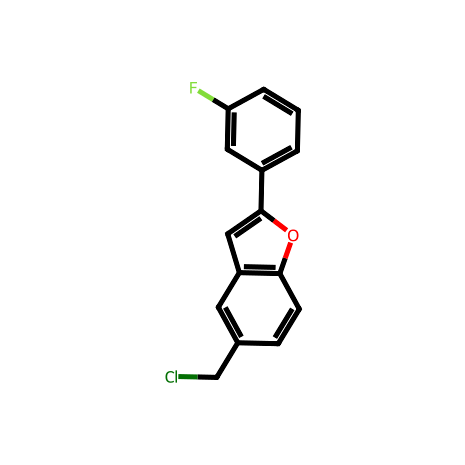 Fc1cccc(-c2cc3cc(CCl)ccc3o2)c1